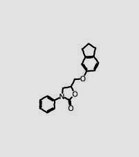 O=C1OC(COc2ccc3c(c2)CCC3)CN1c1ccccc1